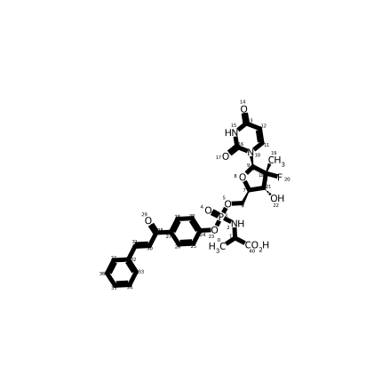 CC(NP(=O)(OC[C@H]1O[C@@H](n2ccc(=O)[nH]c2=O)[C@](C)(F)[C@@H]1O)Oc1ccc(C(=O)/C=C/c2ccccc2)cc1)C(=O)O